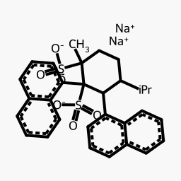 CC(C)C1CCC(C)(S(=O)(=O)[O-])C(c2cccc3ccccc23)(S(=O)(=O)[O-])C1c1cccc2ccccc12.[Na+].[Na+]